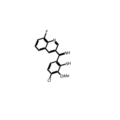 COc1c(Cl)ccc(C(=N)c2cnc3c(F)cccc3c2)c1S